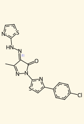 CC1=NN(c2nc(-c3ccc(Cl)cc3)cs2)C(=O)/C1=N/Nc1nccs1